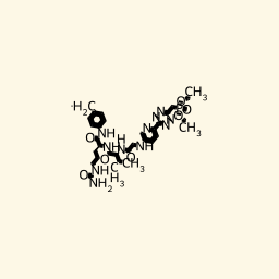 [CH2]c1ccc(NC(=O)[C@H](CCCNC(N)=O)NC(=O)[C@@H](NC(=O)CNc2ccc(-c3nnc(CP(=O)(OCC)OCC)nn3)nc2)C(C)C)cc1